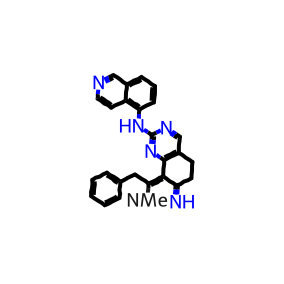 CN/C(Cc1ccccc1)=C1\C(=N)CCc2cnc(Nc3cccc4cnccc34)nc21